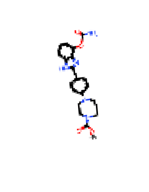 CC(C)(C)OC(=O)N1CCCN(c2ccc(-c3nc4c(OC(N)=O)cccc4[nH]3)cc2)CC1